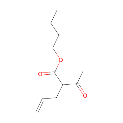 C=CCC(C(C)=O)C(=O)OCCCC